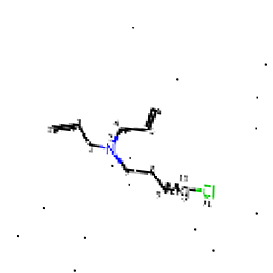 C=CCN(CC=C)CC[CH2][Mg][Cl]